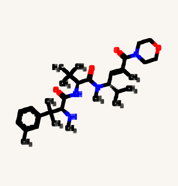 CN[C@H](C(=O)N[C@H](C(=O)N(C)[C@H](/C=C(\C)C(=O)N1CCOCC1)C(C)C)C(C)(C)C)C(C)(C)c1cccc(C)c1